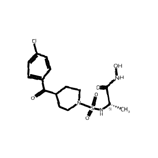 C[C@H](NS(=O)(=O)N1CCC(C(=O)c2ccc(Cl)cc2)CC1)C(=O)NO